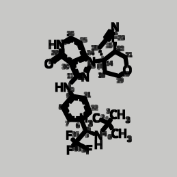 CC(C)(C)N[C@H](c1ccc(Nc2nn([C@]3(CC#N)CCOC[C@@H]3F)c3cc[nH]c(=O)c23)cc1)C(F)(F)F